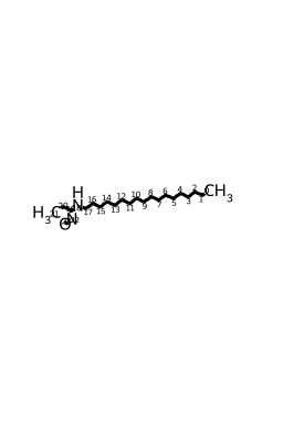 CCCCCCCCCCCCCCCCCCNC(CC)N=O